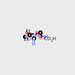 CCOc1cc(CN(c2nc3c(C(=O)NCC(=O)O)cccc3o2)C2CCNCC2)cc(OCC)c1-n1cccc1